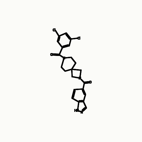 O=C(c1cc(Cl)cc(Cl)c1)N1CCC2(CC1)CN(C(=O)c1ccc3[nH]ncc3c1)C2